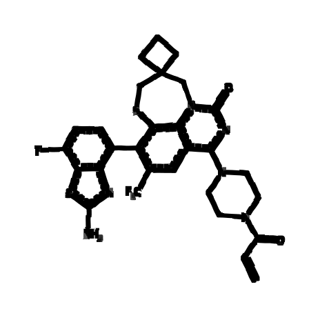 C=CC(=O)N1CCN(c2nc(=O)n3c4c(c(-c5ccc(F)c6sc(N)nc56)c(C(F)(F)F)cc24)SCC2(CCC2)C3)CC1